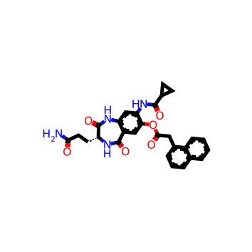 NC(=O)CC[C@H]1NC(=O)c2cc(OC(=O)Cc3cccc4ccccc34)c(NC(=O)C3CC3)cc2NC1=O